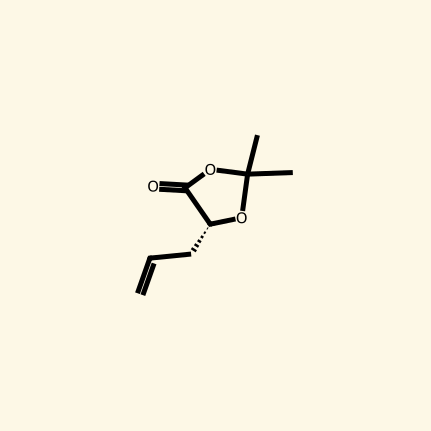 C=CC[C@H]1OC(C)(C)OC1=O